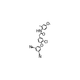 COc1ccc(NC(=O)Cc2ccc(Oc3cc(C#N)cc(C#N)c3)c(Cl)c2)c(C)c1